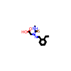 C=Cc1ccccc1C=NN(CC(=O)O)C(=S)NC